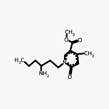 CCCC(N)CCn1cc(C(=O)OC)c(C)cc1=O